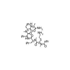 CCCC(=O)N(C)[C@H](SCCN)C(=O)N(C)[C@@H](CC(C)C)C(=O)N[C@H](C(=O)N(C)[C@@H](CC(C)C)C(=O)N[C@@H](C)C(N)=O)C(C)C